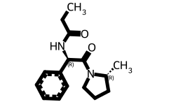 CCC(=O)N[C@@H](C(=O)N1CCC[C@H]1C)c1ccccc1